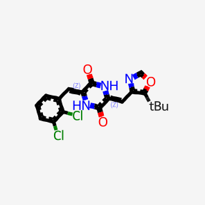 CC(C)(C)c1ocnc1/C=c1\[nH]c(=O)/c(=C/c2cccc(Cl)c2Cl)[nH]c1=O